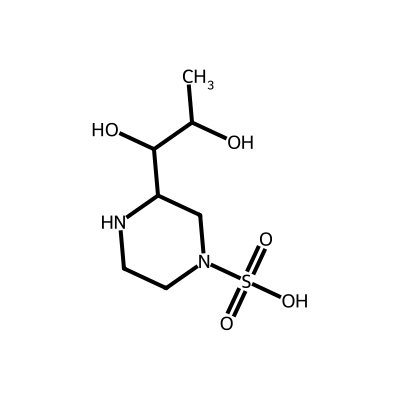 CC(O)C(O)C1CN(S(=O)(=O)O)CCN1